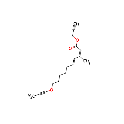 C#CCOC(=O)C=C(C)C=CCCCCCOC#CC